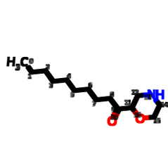 CCCCCCCCCC(=O)C1CNCCO1